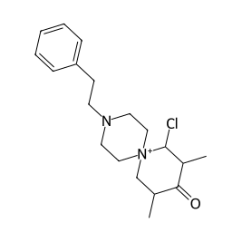 CC1C[N+]2(CCN(CCc3ccccc3)CC2)C(Cl)C(C)C1=O